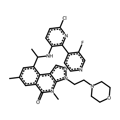 Cc1cc(C(C)Nc2ccc(Cl)nc2-c2ccncc2F)c2c(c1)c(=O)n(C)c1c2cnn1CCN1CCOCC1